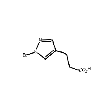 CCn1cc(CCC(=O)O)cn1